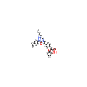 CCCCCCCN(CCc1ccc(C[C@@H](Oc2ccccc2)C(=O)O)cc1)C(=O)Nc1ccc(C(C)C)cc1